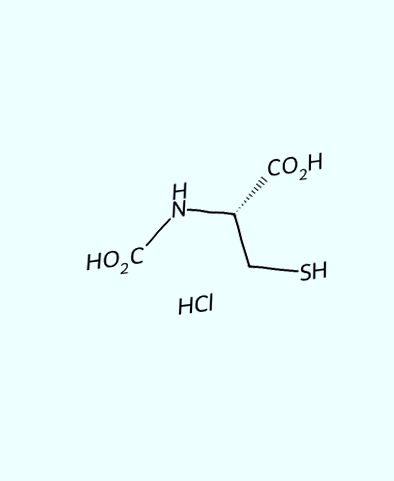 Cl.O=C(O)N[C@@H](CS)C(=O)O